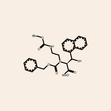 COC(=O)[C@H](C(S)c1cccc2ccccc12)N(CCNC(=O)OC(C)(C)C)C(=O)OCc1ccccc1